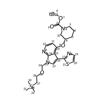 CC(C)(C)OC(=O)N1CCC[C@@H](Oc2ccnc3c2c(-c2nccs2)cn3COCC[Si](C)(C)C)C1